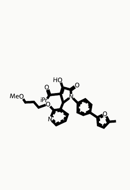 COCCCOc1ncccc1C1C(C(=O)C(C)C)=C(O)C(=O)N1c1ccc(-c2ccc(C)o2)cc1